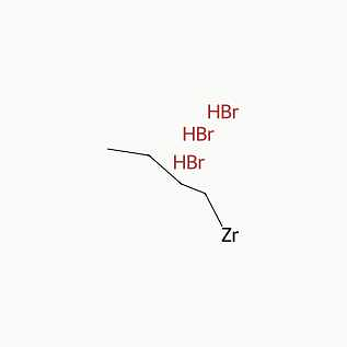 Br.Br.Br.CCC[CH2][Zr]